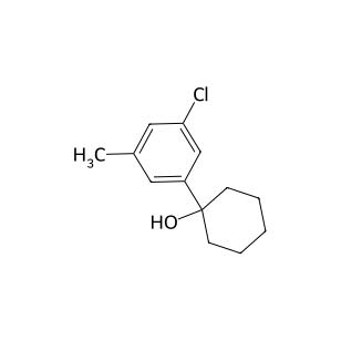 Cc1cc(Cl)cc(C2(O)CCCCC2)c1